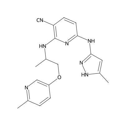 [C-]#[N+]c1ccc(Nc2cc(C)[nH]n2)nc1NC(C)COc1ccc(C)nc1